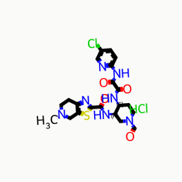 CN1CCc2nc(C(=O)N[C@@H]3CN(C=O)CC[C@@H]3NC(=O)C(=O)Nc3ccc(Cl)cn3)sc2C1.Cl